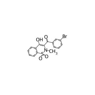 CN1C(C(=O)c2cccc(Br)c2)=C(O)c2ccccc2S1(=O)=O